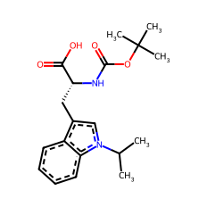 CC(C)n1cc(C[C@@H](NC(=O)OC(C)(C)C)C(=O)O)c2ccccc21